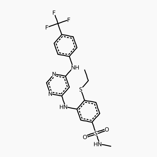 CCSc1ccc(S(=O)(=O)NC)cc1Nc1cc(Nc2ccc(C(F)(F)F)cc2)ncn1